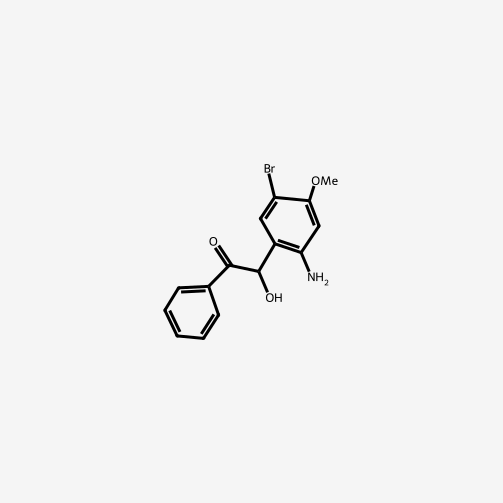 COc1cc(N)c(C(O)C(=O)c2ccccc2)cc1Br